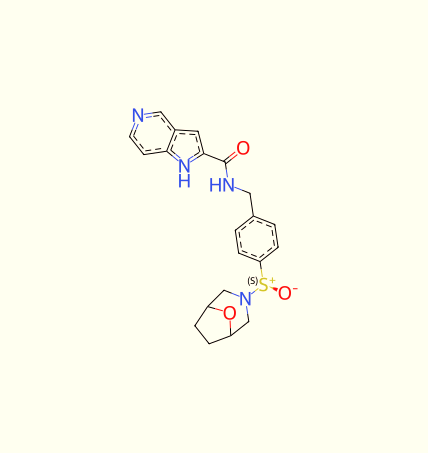 O=C(NCc1ccc([S@@+]([O-])N2CC3CCC(C2)O3)cc1)c1cc2cnccc2[nH]1